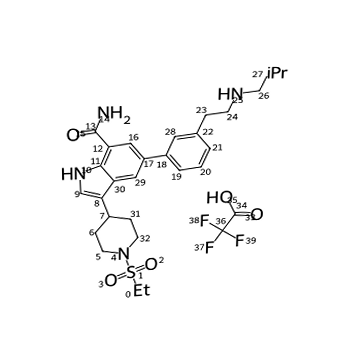 CCS(=O)(=O)N1CCC(c2c[nH]c3c(C(N)=O)cc(-c4cccc(CCNCC(C)C)c4)cc23)CC1.O=C(O)C(F)(F)F